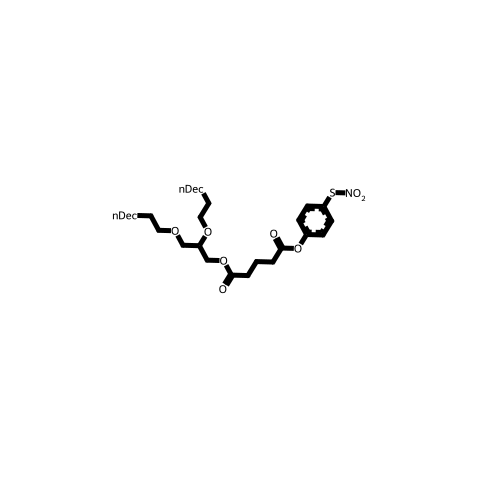 CCCCCCCCCCCCOCC(COC(=O)CCCC(=O)Oc1ccc(S[N+](=O)[O-])cc1)OCCCCCCCCCCCC